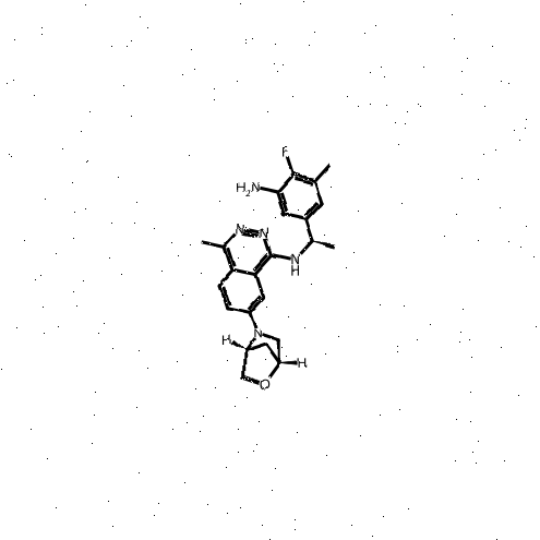 Cc1cc([C@@H](C)Nc2nnc(C)c3ccc(N4C[C@H]5C[C@@H]4CO5)cc23)cc(N)c1F